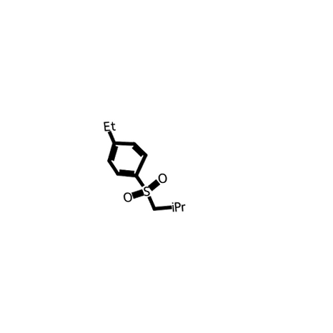 CCc1ccc(S(=O)(=O)CC(C)C)cc1